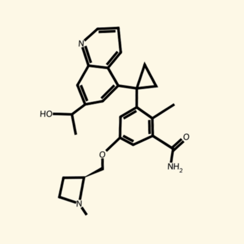 Cc1c(C(N)=O)cc(OC[C@@H]2CCN2C)cc1C1(c2cc(C(C)O)cc3ncccc23)CC1